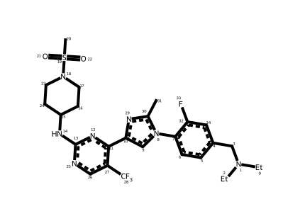 CCN(CC)Cc1ccc(-n2cc(-c3nc(NC4CCN(S(C)(=O)=O)CC4)ncc3C(F)(F)F)nc2C)c(F)c1